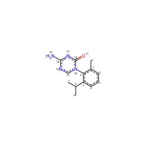 Cc1cccc(C(C)C)c1-n1cnc(N)nc1=O